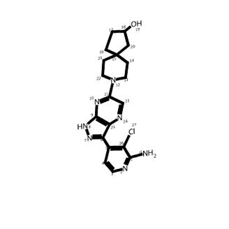 Nc1nccc(-c2n[nH]c3nc(N4CCC5(CCC(O)C5)CC4)cnc23)c1Cl